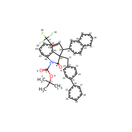 CC(C)(C)OC(=O)N1C(=O)C(Cc2ccc(-c3ccccc3)cc2)(C(/C=C/C(F)(F)F)c2ccc3ccccc3c2)c2ccccc21